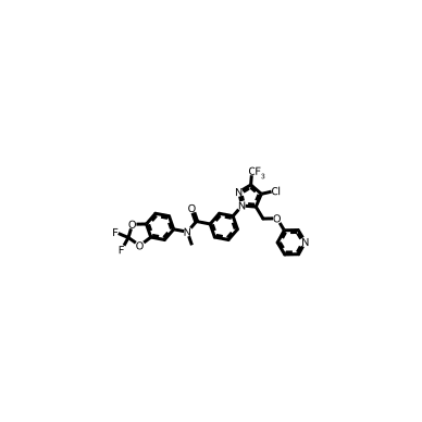 CN(C(=O)c1cccc(-n2nc(C(F)(F)F)c(Cl)c2COc2cccnc2)c1)c1ccc2c(c1)OC(F)(F)O2